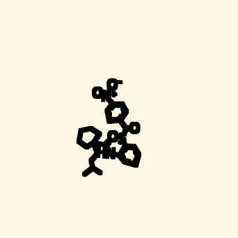 CC(C)CCC1(C(=O)Nc2ccccc2SC(=O)c2ccc([N+](=O)[O-])cc2)CCCCC1